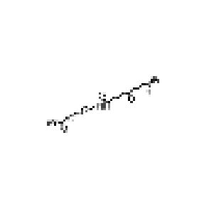 CC(C)NCCCC(=O)CCCCC(=O)NCCOCCOCC(=O)C(C)C